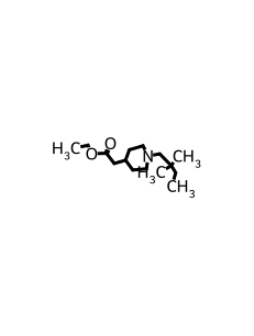 CCOC(=O)CC1CCN(CC(C)(C)CC)CC1